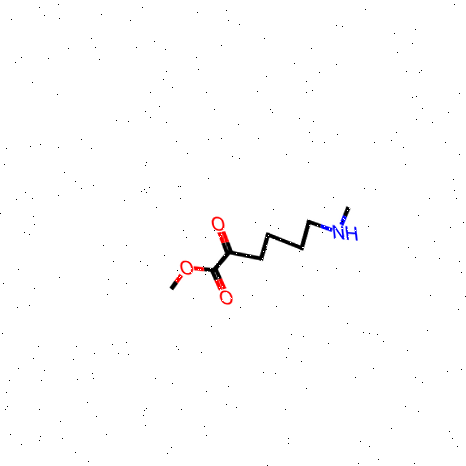 CNCCCCC(=O)C(=O)OC